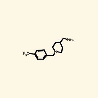 NCC1CCN(Cc2ccc(C(F)(F)F)cc2)CC1